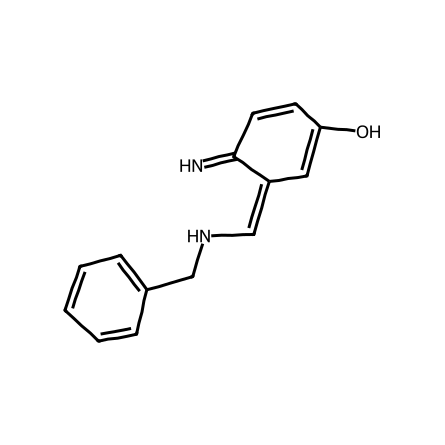 N=C1C=CC(O)=C/C1=C/NCc1ccccc1